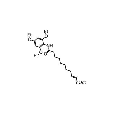 CCCCCCCCC=CCCCCCCCC(=O)Nc1c(OCC)cc(OCC)cc1OCC